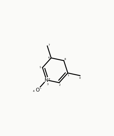 CC1=C[N+]([O-])=CC(C)C1